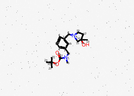 CN(Cc1cccc(CN2CCC(C)(O)C2)c1)C(=O)OC(C)(C)C